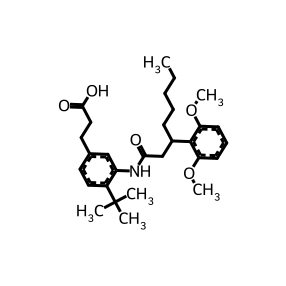 CCCCCC(CC(=O)Nc1cc(CCC(=O)O)ccc1C(C)(C)C)c1c(OC)cccc1OC